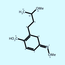 CON=C1C=CC(C(=O)O)=C(CCC(C)OC)C1